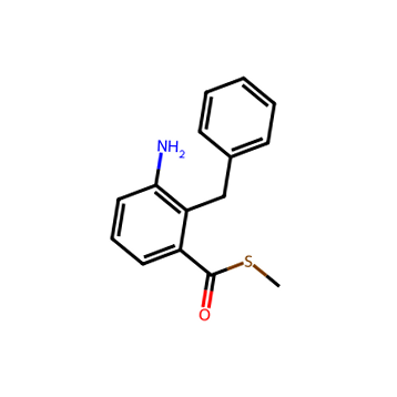 CSC(=O)c1cccc(N)c1Cc1ccccc1